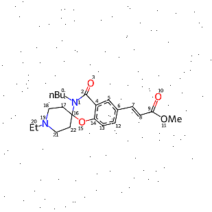 CCCCN1C(=O)c2cc(C=CC(=O)OC)ccc2OC12CCN(CC)CC2